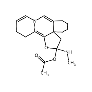 CNC1(OC(C)=O)CC23CCCCC2=CN2C=CCCC2=C3O1